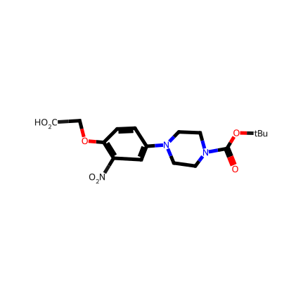 CC(C)(C)OC(=O)N1CCN(c2ccc(OCC(=O)O)c([N+](=O)[O-])c2)CC1